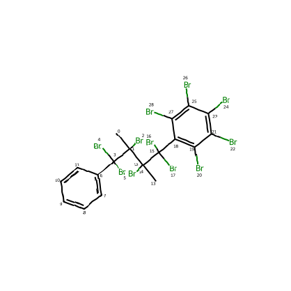 CC(Br)(C(Br)(Br)c1ccccc1)C(C)(Br)C(Br)(Br)c1c(Br)c(Br)c(Br)c(Br)c1Br